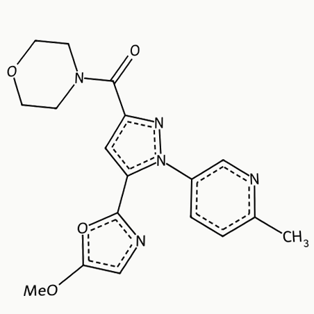 COc1cnc(-c2cc(C(=O)N3CCOCC3)nn2-c2ccc(C)nc2)o1